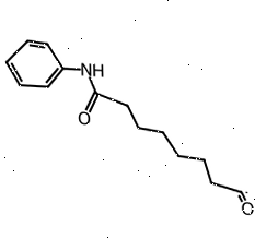 O=[C]CCCCCCC(=O)Nc1ccccc1